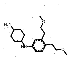 COCCc1ccc(NC2CCC(N)CC2)cc1CCOC